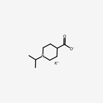 CC(C)N1CCC(C(=O)[O-])CC1.[K+]